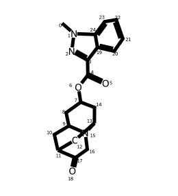 Cn1nc(C(=O)OC2CC3CC4CC(C2)N3CC4=O)c2ccccc21